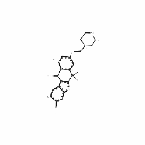 CC1(C)c2cc(OCC3CCNCC3)ccc2C(=O)c2c1[nH]c1cc(Br)ccc21.Cl